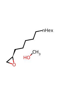 CCCCCCCCCCC[C@@H]1CO1.CO